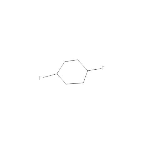 F[C]1CCC(F)CC1